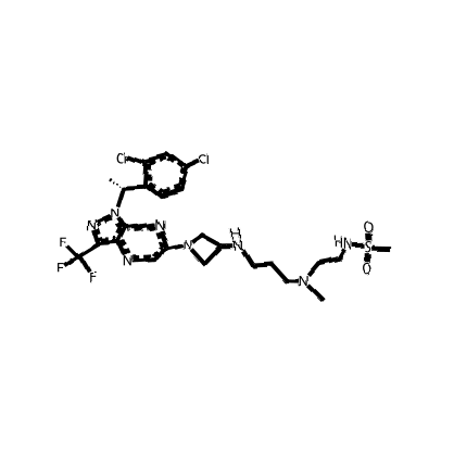 C[C@H](c1ccc(Cl)cc1Cl)n1nc(C(F)(F)F)c2ncc(N3CC(NCCCN(C)CCNS(C)(=O)=O)C3)nc21